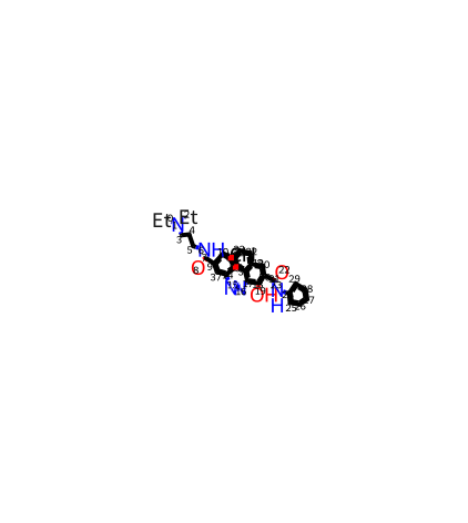 CCN(CC)CCCNC(=O)c1cc(C)cc(/N=N\c2c(O)c(C(=O)Nc3ccccc3)cc3ccccc23)c1